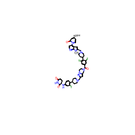 CNc1ccn(-c2ccnc3c2cc(CN2CCC(c4c(F)cc(C(=O)N5CCn6nc(CN7CCC(c8ccc(N[C@H]9CCC(=O)NC9=O)cc8F)CC7)cc6C5)cc4F)CC2)n3C)c(=O)c1